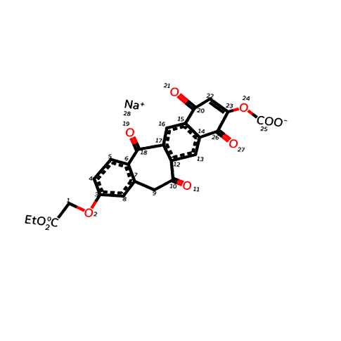 CCOC(=O)COc1ccc2c(c1)CC(=O)c1cc3c(cc1C2=O)C(=O)C=C(OC(=O)[O-])C3=O.[Na+]